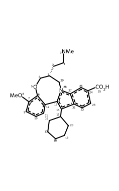 CNCC[C@H]1COc2c(OC)cccc2-c2c(C3CCCCC3)c3ccc(C(=O)O)cc3n2C1